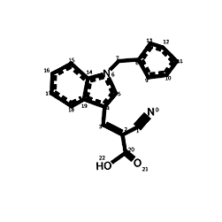 N#C/C(=C\c1cn(Cc2ccccc2)c2ccccc12)C(=O)O